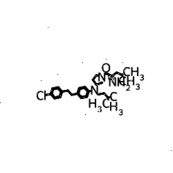 CC(C)CCN(c1ccc(CCc2ccc(Cl)cc2)cc1)C1CCN(C(=O)[C@@H](N)CC(C)C)C1